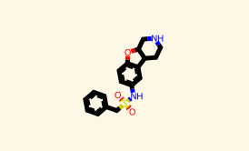 O=S(=O)(Cc1ccccc1)Nc1ccc2c(c1)C1CCNCC1O2